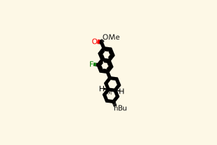 CCCCC1CC[C@@H]2CC(c3cc(F)c4cc(C(=O)OC)ccc4c3)CC[C@H]2C1